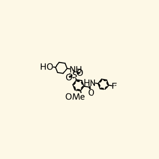 COc1ccc(S(=O)(=O)NC2CCC(O)CC2)cc1C(=O)Nc1ccc(F)cc1